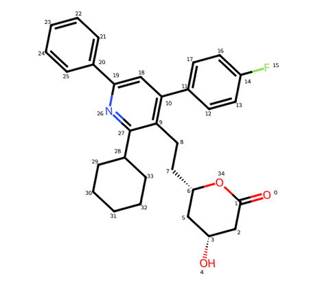 O=C1C[C@H](O)C[C@H](CCc2c(-c3ccc(F)cc3)cc(-c3ccccc3)nc2C2CCCCC2)O1